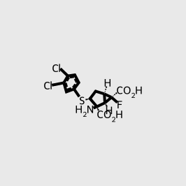 N[C@]1(C(=O)O)[C@H]2[C@@H](C[C@H]1Sc1ccc(Cl)c(Cl)c1)[C@]2(F)C(=O)O